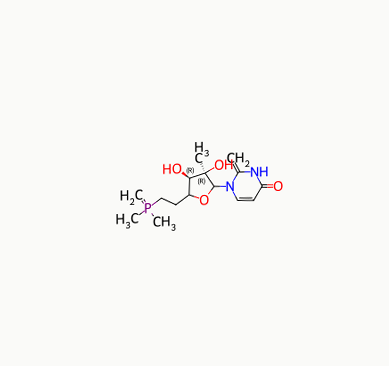 C=C1NC(=O)C=CN1C1OC(CCP(=C)(C)C)[C@@H](O)[C@@]1(C)O